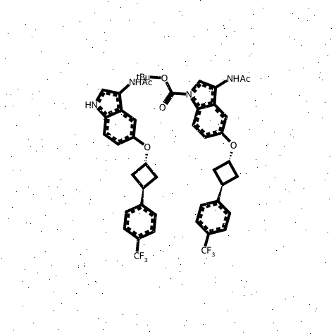 CC(=O)Nc1c[nH]c2ccc(O[C@H]3C[C@H](c4ccc(C(F)(F)F)cc4)C3)cc12.CC(=O)Nc1cn(C(=O)OC(C)(C)C)c2ccc(O[C@H]3C[C@H](c4ccc(C(F)(F)F)cc4)C3)cc12